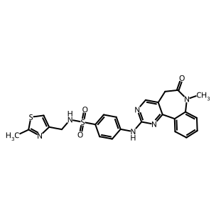 Cc1nc(CNS(=O)(=O)c2ccc(Nc3ncc4c(n3)-c3ccccc3N(C)C(=O)C4)cc2)cs1